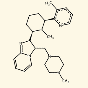 Cc1cccnc1[C@@H]1CCC[C@H](C2N=C3C=CC=CN3C2CN2CCN(C)CC2)N1C